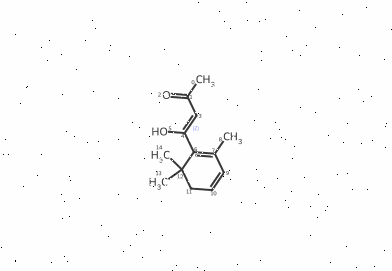 CC(=O)/C=C(\O)C1=C(C)C=CCC1(C)C